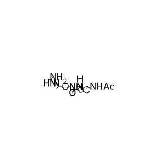 C=C(N)N/N=C(\C)c1ccc(NC(=O)c2cc3ccc(NC(C)=O)cc3[nH]2)cc1